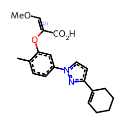 CO/C=C(\Oc1cc(-n2ccc(C3=CCCCC3)n2)ccc1C)C(=O)O